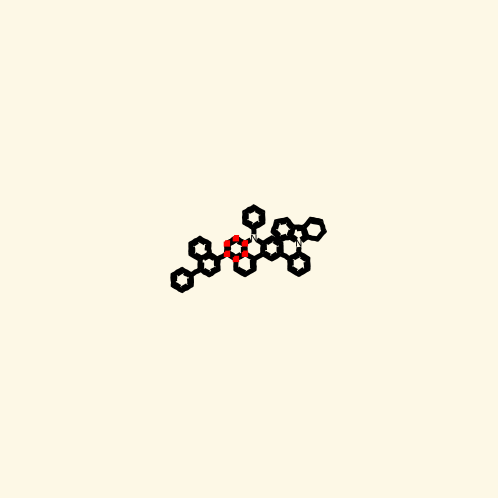 C1=CCC2C(=C1)C=CC=C2c1cc(-c2ccccc2-n2c3c(c4ccccc42)C=CCC3)ccc1N(c1ccccc1)c1ccc(-c2ccc(-c3ccccc3)c3ccccc23)cc1